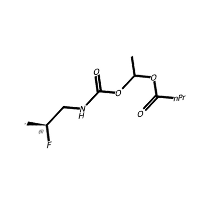 [CH2][C@H](F)CNC(=O)OC(C)OC(=O)CCC